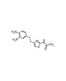 CC(=O)Nc1nc(CCc2ccc(N)c(N)c2)cs1